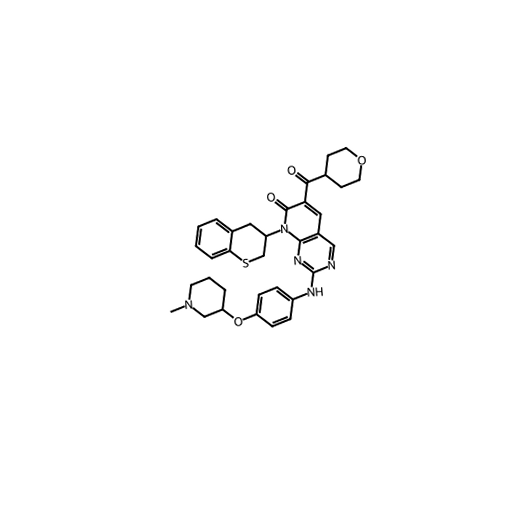 CN1CCCC(Oc2ccc(Nc3ncc4cc(C(=O)C5CCOCC5)c(=O)n(C5CSc6ccccc6C5)c4n3)cc2)C1